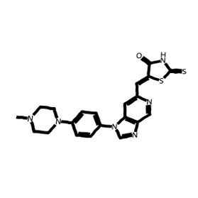 CN1CCN(c2ccc(-n3cnc4cnc(/C=C5\SC(=S)NC5=O)cc43)cc2)CC1